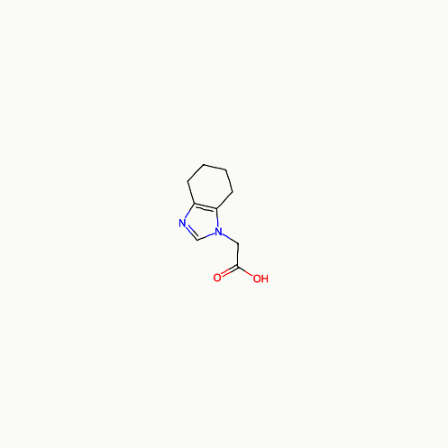 O=C(O)Cn1cnc2c1CCCC2